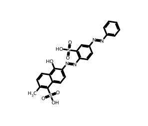 Cc1ccc2c(O)c(N=Nc3ccc(N=Nc4ccccc4)cc3S(=O)(=O)O)ccc2c1S(=O)(=O)O